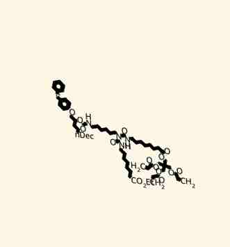 C=CC(=O)OCC(COC(=O)C=C)(COC(=O)C=C)COC(=O)CCCCCCCNC(=O)N(CCCCCCNC(=O)OC(CCCCCCCCCCCC)COc1ccc([I+]c2ccccc2)cc1)C(=O)NCCCCCCCC(=O)OCC